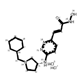 Cl.Cl.O=C(/C=C/c1ccc(N[C@@H]2CCN(CC3CCCCC3)C2)nn1)NO